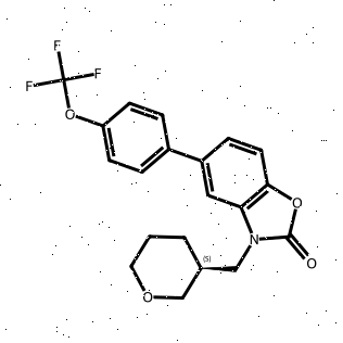 O=c1oc2ccc(-c3ccc(OC(F)(F)F)cc3)cc2n1C[C@@H]1CCCOC1